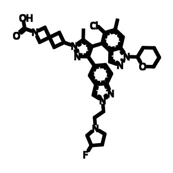 Cc1cc2c(cnn2C2CCCCO2)c(-c2c(-c3ccc4nn(CCN5CCC(F)C5)cc4c3)nn(C3CC4(C3)CN(C(=O)O)C4)c2C)c1Cl